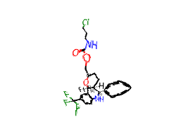 O=C(NCCCCl)OC[C@H]1CC[C@@H]2[C@H](O1)c1cc(C(F)(F)F)ccc1N[C@H]2c1ccccc1